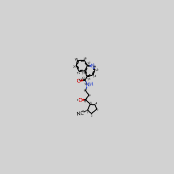 N#C[C@@H]1CCCC1C(=O)CCNC(=O)c1ccnc2ccccc12